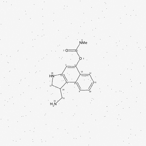 CNC(=O)Oc1cc2c(c3ccccc13)C(CN)CN2